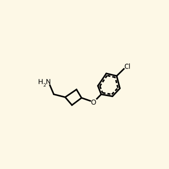 NCC1CC(Oc2ccc(Cl)cc2)C1